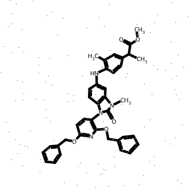 COC(=O)C(C)c1ccc(Nc2ccc3c(c2)n(C)c(=O)n3-c2ccc(OCc3ccccc3)nc2OCc2ccccc2)c(C)c1